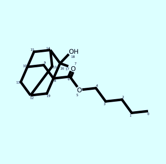 CCCCCOC(=O)C12CC3CC(CC(C3)C1(C)O)C2